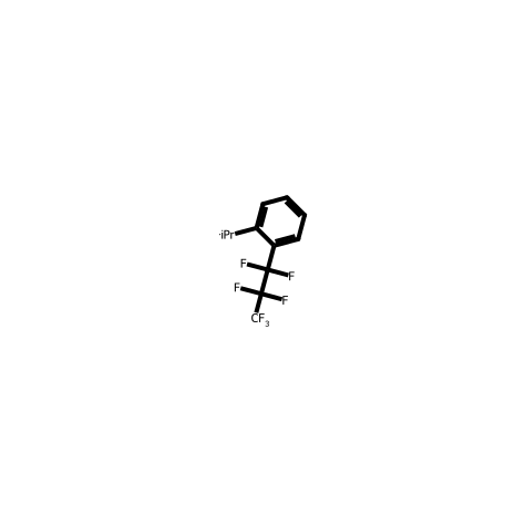 C[C](C)c1ccccc1C(F)(F)C(F)(F)C(F)(F)F